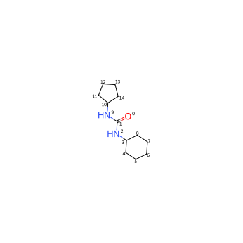 O=C(NC1CCCCC1)NC1CCCC1